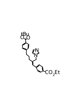 CCOC(=O)c1ccc(C=C(CCCc2ccc(C(=O)OC(C)(C)C)cc2)Cn2ccnc2)cc1